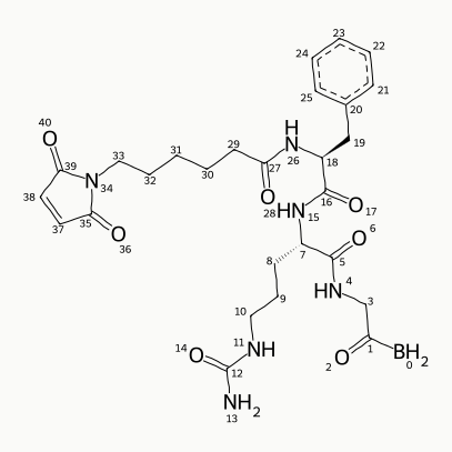 BC(=O)CNC(=O)[C@H](CCCNC(N)=O)NC(=O)[C@H](Cc1ccccc1)NC(=O)CCCCCN1C(=O)C=CC1=O